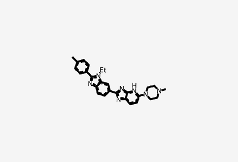 CCn1c(-c2ccc(C)cc2)nc2ccc(-c3nc4ccc(N5CCN(C)CC5)[nH]c-4n3)cc21